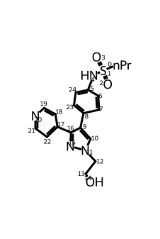 CCCS(=O)(=O)Nc1ccc(-c2cn(CCO)nc2-c2ccncc2)cc1